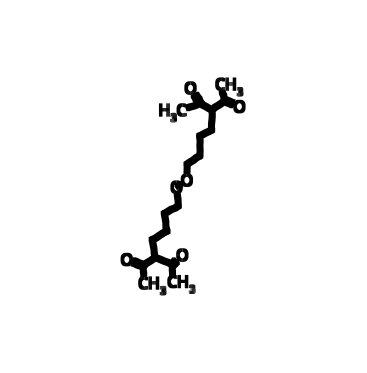 CC(=O)C(CCCCOOCCCCC(C(C)=O)C(C)=O)C(C)=O